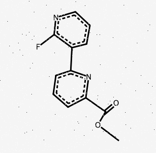 COC(=O)c1cccc(-c2cccnc2F)n1